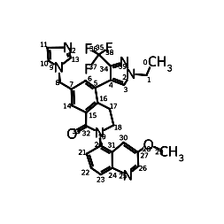 CCn1cc(-c2cc(Cn3ccnc3)cc3c2CCN(c2cccc4ncc(OC)cc24)C3=O)c(C(F)(F)F)n1